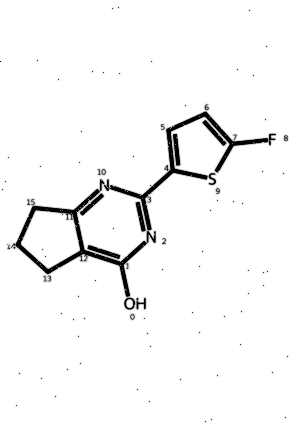 Oc1nc(-c2ccc(F)s2)nc2c1CCC2